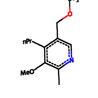 CCCc1c(COC(=O)O)cnc(C)c1OC